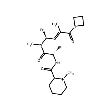 C/C(=C\[C@H](C(C)C)N(C)C(=O)[C@@H](NC(=O)C1CCCCN1C)C(C)C)C(=O)N1CCC1